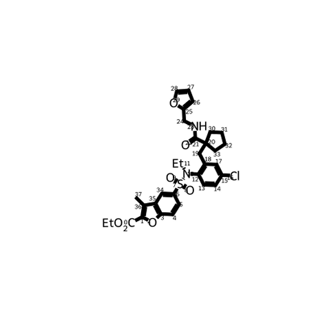 CCOC(=O)c1oc2ccc(S(=O)(=O)N(CC)c3ccc(Cl)cc3CC3(C(=O)NCc4ccco4)CCCC3)cc2c1C